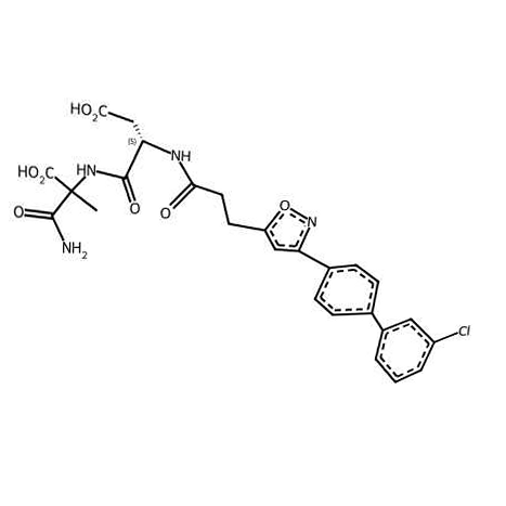 CC(NC(=O)[C@H](CC(=O)O)NC(=O)CCc1cc(-c2ccc(-c3cccc(Cl)c3)cc2)no1)(C(N)=O)C(=O)O